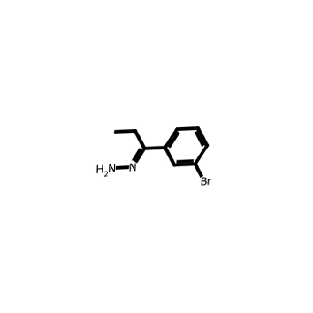 CCC(=NN)c1cccc(Br)c1